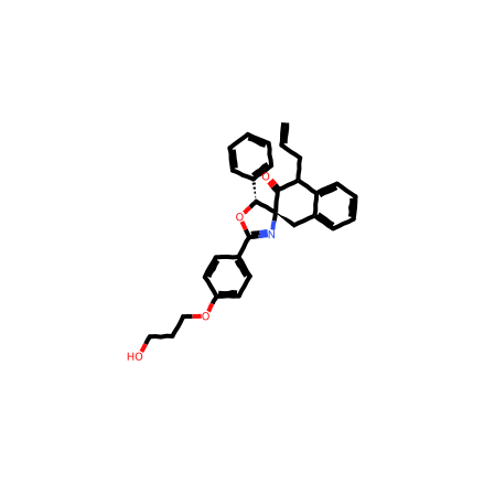 C=CCC1C(=O)[C@]2(Cc3ccccc31)N=C(c1ccc(OCCCO)cc1)O[C@@H]2c1ccccc1